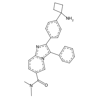 CN(C)C(=O)c1ccc2nc(-c3ccc(C4(N)CCC4)cc3)c(-c3ccccc3)n2c1